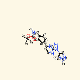 Cc1cc(-c2ccnc(Nc3cnn(C)c3C)n2)ccc1CN(C)C(=O)OC(C)(C)C